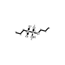 CCCSP(=O)(O)S(=S)(=S)CCC